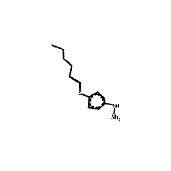 CCCCCCSc1ccc(NN)cc1